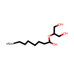 CCCCCCCCCCCCCCCC(O)OC(CO)CO